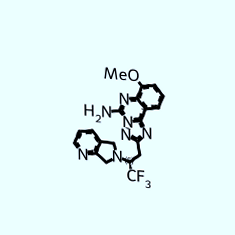 COc1cccc2c1nc(N)n1nc(C[C@H](N3Cc4cccnc4C3)C(F)(F)F)nc21